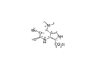 CCOC(=O)c1[nH]cc(CN(C)C)c1NC(=O)OC(C)(C)C